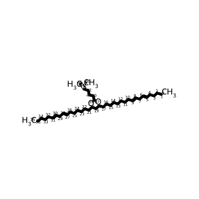 CCCCCC=CCC=CCCCCCCCCC(CCCCCCCCC=CCC=CCCCCC)OC(=O)CCCCN(C)C